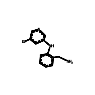 CCc1cncc(Nc2ccccc2CN)c1